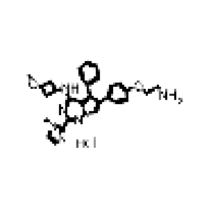 COC1CC(Nc2nc(-c3nccn3C)nn3cc(-c4ccc(OCCN)cc4)c(-c4ccccc4)c23)C1.Cl